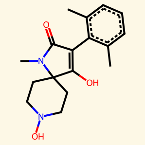 Cc1cccc(C)c1C1=C(O)C2(CCN(O)CC2)N(C)C1=O